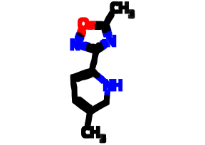 CC1=CC=C(c2noc(C)n2)NC1